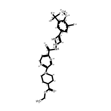 CCOC(=O)C1CCN(C2=NCC=C(C(=O)N[SH]3C=C(c4cc(F)c(OC)c(C(F)(F)F)c4)N3)N=C2)CC1